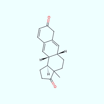 CC12CC[C@H]3C=C4CC(=O)C=CC4=C[C@H]3[C@@H]1CCC2=O